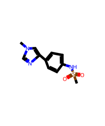 Cn1cnc(-c2ccc(NS(C)(=O)=O)cc2)c1